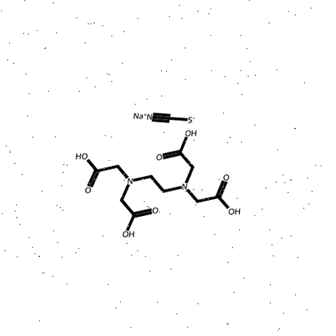 N#C[S-].O=C(O)CN(CCN(CC(=O)O)CC(=O)O)CC(=O)O.[Na+]